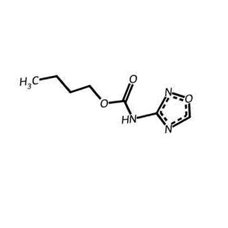 CCCCOC(=O)Nc1ncon1